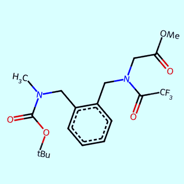 COC(=O)CN(Cc1ccccc1CN(C)C(=O)OC(C)(C)C)C(=O)C(F)(F)F